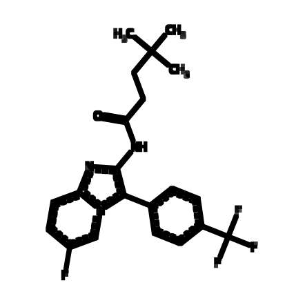 CC(C)(C)CCC(=O)Nc1nc2ccc(F)cn2c1-c1ccc(C(F)(F)F)cc1